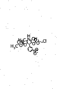 CC1=C(OC(=O)OCCCl)C(c2cccc([N+](=O)[O-])c2)C(OC(=O)OC(C)C)=C(C)N1